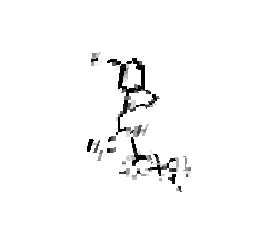 C[C@@H](CN1CCc2ccc(Br)cc21)NC(=O)OC(C)(C)C